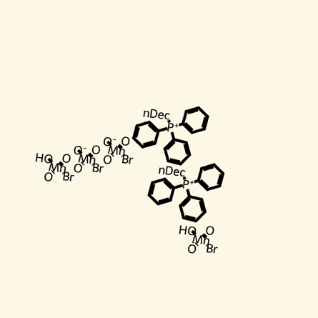 CCCCCCCCCC[P+](c1ccccc1)(c1ccccc1)c1ccccc1.CCCCCCCCCC[P+](c1ccccc1)(c1ccccc1)c1ccccc1.[O]=[Mn](=[O])([O-])[Br].[O]=[Mn](=[O])([O-])[Br].[O]=[Mn](=[O])([OH])[Br].[O]=[Mn](=[O])([OH])[Br]